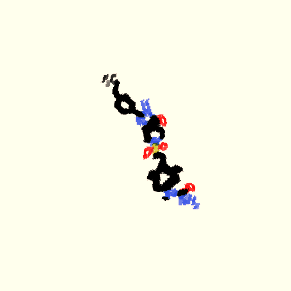 Cc1cc(N(C)C(N)=O)cc(C)c1C=CS(=O)(=O)N1CCC2(CC1)N=C(C1CCC(CCC(F)(F)F)CC1)NC2=O